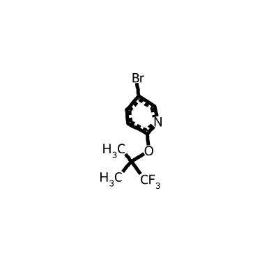 CC(C)(Oc1ccc(Br)cn1)C(F)(F)F